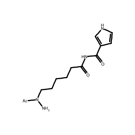 CC(=O)N(N)CCCCCC(=O)NC(=O)c1cc[nH]c1